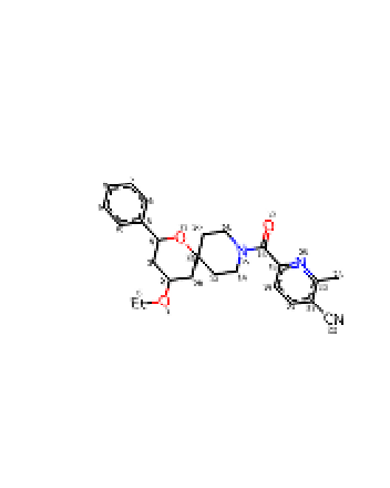 CCOC1CC(c2ccccc2)OC2(CCN(C(=O)c3ccc(C#N)c(C)n3)CC2)C1